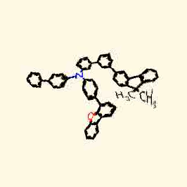 CC1(C)c2ccccc2-c2cc(-c3cccc(-c4cccc(N(c5ccc(-c6ccccc6)cc5)c5ccc(-c6cccc7c6oc6ccccc67)cc5)c4)c3)ccc21